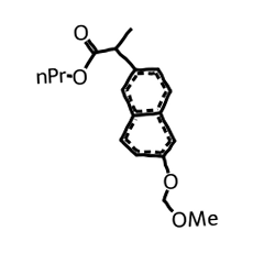 CCCOC(=O)C(C)c1ccc2cc(OCOC)ccc2c1